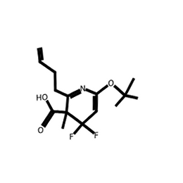 C=CCCC1=NC(OC(C)(C)C)=CC(F)(F)C1(C)C(=O)O